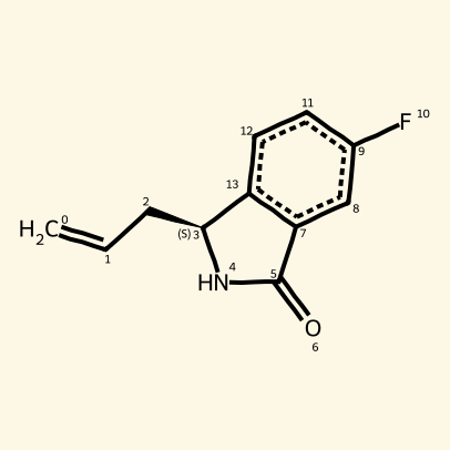 C=CC[C@@H]1NC(=O)c2cc(F)ccc21